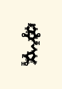 O=C1C=C(NCCc2cc(F)c(O)c(F)c2)C(=O)c2cnncc21